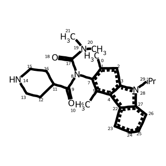 Cc1cc2c(c(C)c1N(C(=O)C1CCNCC1)C(=O)N(C)C)c1ccccc1n2C(C)C